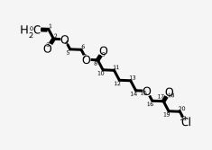 C=CC(=O)OCCOC(=O)CCCCCOCC(=O)CCCl